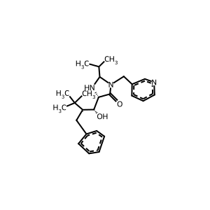 CC(C)C1N[C@@H]([C@H](O)[C](Cc2ccccc2)C(C)(C)C)C(=O)N1Cc1cccnc1